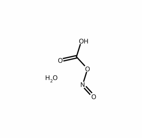 O.O=NOC(=O)O